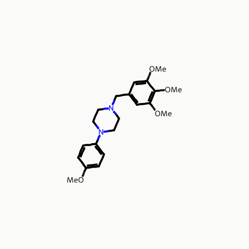 COc1ccc(N2CCN(Cc3cc(OC)c(OC)c(OC)c3)CC2)cc1